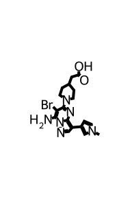 Cn1ccc(-c2cnn3c(N)c(Br)c(N4CCC(CC(=O)O)CC4)nc23)c1